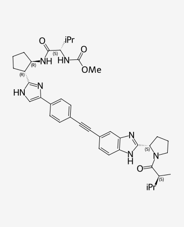 COC(=O)N[C@H](C(=O)N[C@@H]1CCC[C@H]1c1nc(-c2ccc(C#Cc3ccc4[nH]c([C@@H]5CCCN5C(=O)[C@@H](C)C(C)C)nc4c3)cc2)c[nH]1)C(C)C